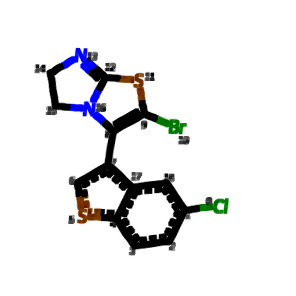 Clc1ccc2scc(C3=C(Br)SC4=NCCN43)c2c1